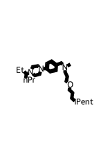 CCCC(C)CCCOCCCN(C)Cc1ccc(N2CCN(C(CC)CCC)CC2)cc1